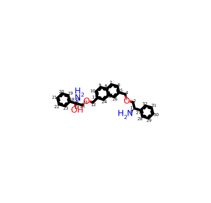 N[C@H](COCc1ccc2ccc(COC[C@@](N)(O)c3ccccc3)cc2c1)c1ccccc1